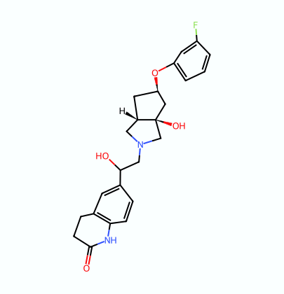 O=C1CCc2cc(C(O)CN3C[C@@H]4C[C@@H](Oc5cccc(F)c5)C[C@]4(O)C3)ccc2N1